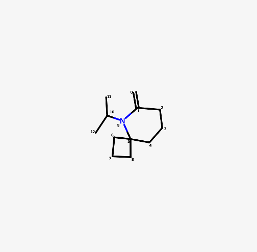 C=C1CCCC2(CCC2)N1C(C)C